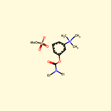 CCN(CC)C(=O)Oc1cccc([N+](C)(C)C)c1.COS(=O)(=O)[O-]